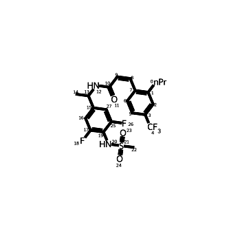 CCCc1cc(C(F)(F)F)ccc1/C=C\C(=O)NC(C)c1cc(F)c(NS(C)(=O)=O)c(F)c1